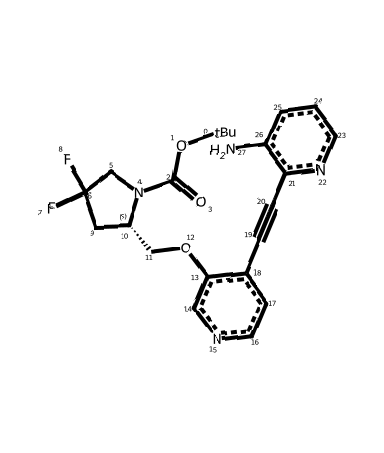 CC(C)(C)OC(=O)N1CC(F)(F)C[C@H]1COc1cnccc1C#Cc1ncccc1N